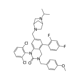 COc1ccc(CN2Cc3c(-c4ccc(F)cc4F)cc(CN4CC5CC4CN5C(C)C)cc3N(c3c(Cl)cccc3Cl)C2=O)cc1